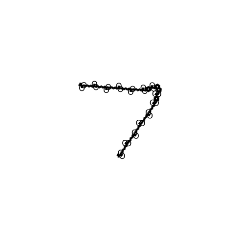 C=C(C)C(=O)OCCCCCC(=O)OCCCCCC(=O)OCCCCCC(=O)OCCCCCC(=O)OCCCCCC(=O)Oc1ccc(C(=O)Oc2ccc3cccc(OC(=O)c4ccc(OC(=O)CCCCCOC(=O)CCCCCOC(=O)CCCCCOC(=O)CCCCCOC(=O)CCCCCOC(=O)C(=C)C)cc4)c3c2)cc1